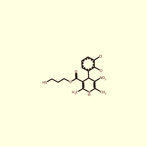 CC1=C(C(=O)OCCCS)C(c2cccc(Cl)c2Cl)C([N+](=O)[O-])=C(C)N1